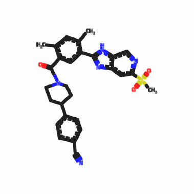 Cc1cc(C)c(-c2nc3cc(S(C)(=O)=O)ncc3[nH]2)cc1C(=O)N1CCC(c2ccc(C#N)cc2)CC1